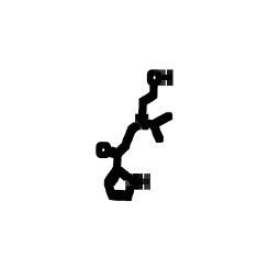 CC(C)N(CCO)CCC(=O)c1ccc[nH]1